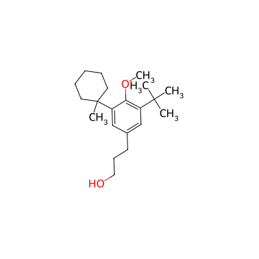 COc1c(C(C)(C)C)cc(CCCO)cc1C1(C)CCCCC1